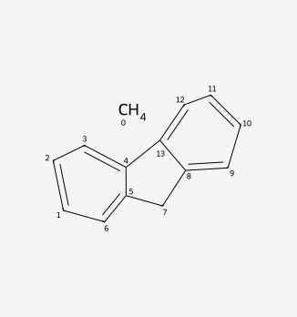 C.c1ccc2c(c1)Cc1ccccc1-2